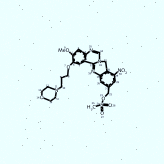 COc1cc2c(cc1OCCCN1CCOCC1)C1=Nc3cc(COS(C)(=O)=O)cc([N+](=O)[O-])c3CN1C=N2